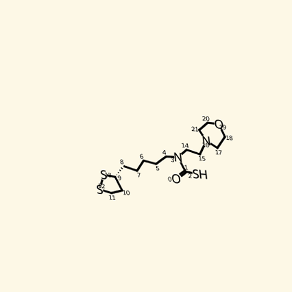 O=C(S)N(CCCCC[C@@H]1CCSS1)CCN1CCOCC1